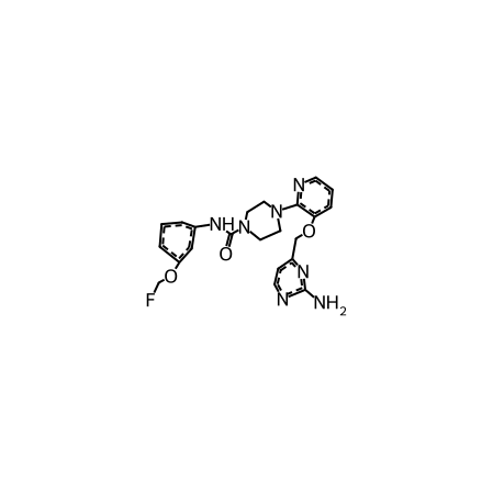 Nc1nccc(COc2cccnc2N2CCN(C(=O)Nc3cccc(OCF)c3)CC2)n1